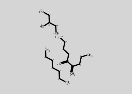 C=C(CCC)C(=O)CCCC.CCCCCCC.OCC(O)CO